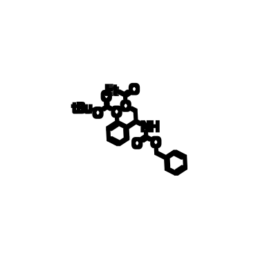 CCC(=O)OCC(NC(=O)OCc1ccccc1)c1ccccc1OC(=O)OC(C)(C)C